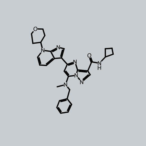 CN(Cc1ccccc1)c1cc(-c2cnc3n(C4CCOCC4)cccc2-3)nc2c(C(=O)NC3CCC3)cnn12